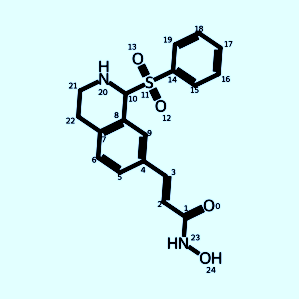 O=C(C=Cc1ccc2c(c1)C(S(=O)(=O)c1ccccc1)NCC2)NO